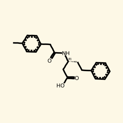 Cc1ccc(CC(=O)N[C@H](CCc2ccccc2)CC(=O)O)cc1